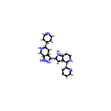 c1ccc(-c2nccc3[nH]c(-c4n[nH]c5cnc(-c6ccncc6)cc45)cc23)nc1